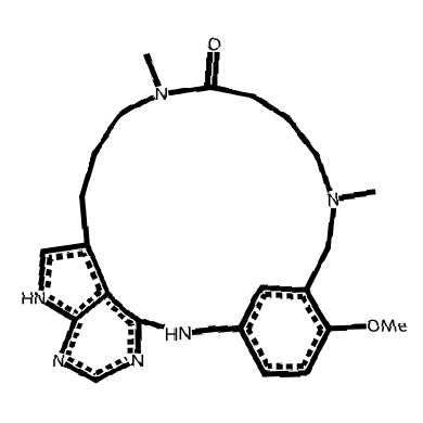 COc1ccc2cc1CN(C)CCCC(=O)N(C)CCCc1c[nH]c3ncnc(c13)N2